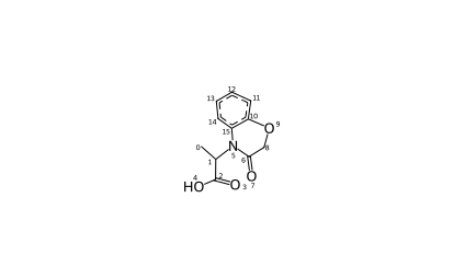 CC(C(=O)O)N1C(=O)COc2ccccc21